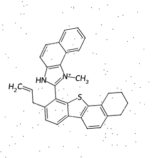 C=CCc1ccc2c(sc3c4c(ccc32)CCCC4)c1-c1[nH]c2ccc3ccccc3c2[n+]1C